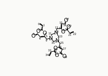 C=CC(=O)OC(=CC=O)CN1CN(CC(=CC=O)OC(=O)C=C)CN(CC(=CC=O)OC(=O)C=C)C1